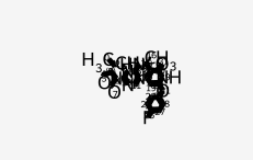 CC(C)[C@H]1COC(=O)N1c1ncnc(N[C@@H](C)c2ccc(Oc3ccc(F)cc3)[nH]c2=O)n1